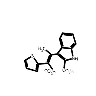 C/C(=C(/C(=O)O)c1cccs1)c1c(C(=O)O)[nH]c2ccccc12